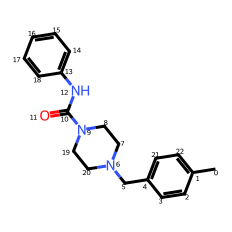 Cc1ccc(CN2CCN(C(=O)Nc3ccccc3)CC2)cc1